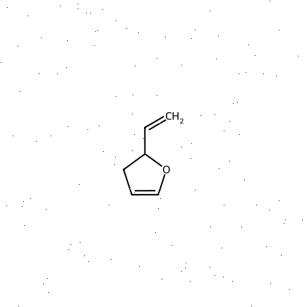 C=CC1CC=CO1